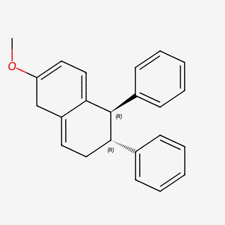 COC1=CC=C2C(=CC[C@@H](c3ccccc3)[C@@H]2c2ccccc2)C1